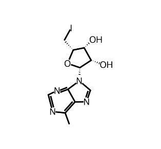 Cc1ncnc2c1ncn2[C@@H]1O[C@H](CI)[C@H](O)[C@@H]1O